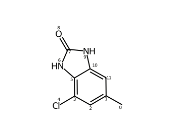 Cc1cc(Cl)c2[nH]c(=O)[nH]c2c1